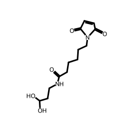 O=C(CCCCCN1C(=O)C=CC1=O)NCCC(O)O